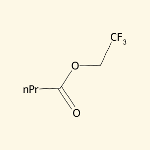 [CH2]CCC(=O)OCC(F)(F)F